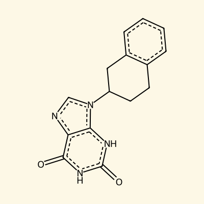 O=c1[nH]c(=O)c2ncn(C3CCc4ccccc4C3)c2[nH]1